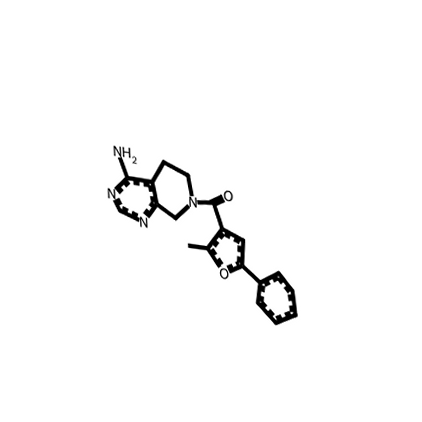 Cc1oc(-c2ccccc2)cc1C(=O)N1CCc2c(N)ncnc2C1